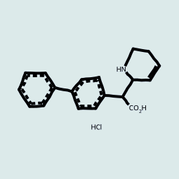 Cl.O=C(O)C(c1ccc(-c2ccccc2)cc1)C1C=CCCN1